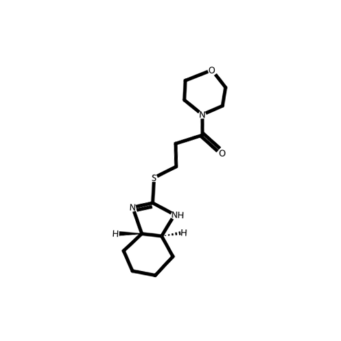 O=C(CCSC1=N[C@H]2CCCC[C@@H]2N1)N1CCOCC1